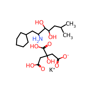 CC(C)CC(O)C(O)C(N)CC1CCCCC1.O=C([O-])CC(O)(CC(=O)O)C(=O)O.[K+]